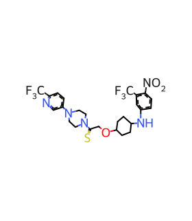 O=[N+]([O-])c1ccc(NC2CCC(OCC(=S)N3CCN(c4ccc(C(F)(F)F)nc4)CC3)CC2)cc1C(F)(F)F